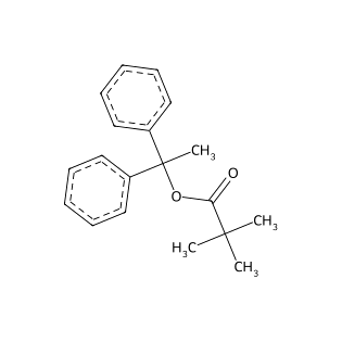 CC(C)(C)C(=O)OC(C)(c1ccccc1)c1ccccc1